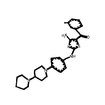 Cc1cccc(C(=O)c2sc(Nc3ccc(N4CCC(N5CCCCC5)CC4)cc3)nc2N)c1